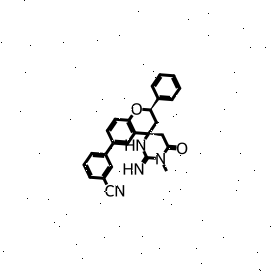 CN1C(=N)N[C@@]2(CC1=O)C[C@H](c1ccccc1)Oc1ccc(-c3cccc(C#N)c3)cc12